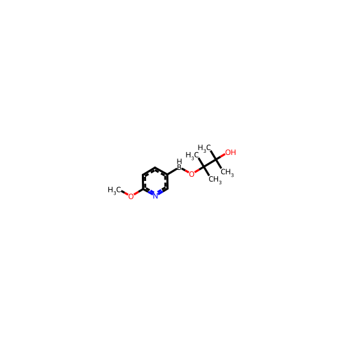 COc1ccc(BOC(C)(C)C(C)(C)O)cn1